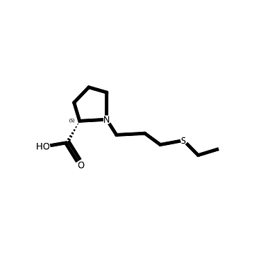 CCSCCCN1CCC[C@H]1C(=O)O